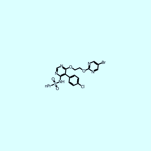 CCCS(=O)(=O)Nc1ncnc(OCCOc2ncc(Br)cn2)c1-c1ccc(Cl)cc1